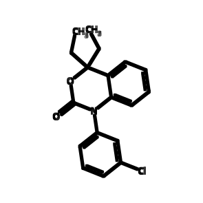 CCC1(CC)OC(=O)N(c2cccc(Cl)c2)c2ccccc21